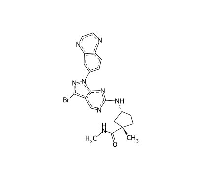 CNC(=O)[C@@]1(C)CC[C@@H](Nc2ncc3c(Br)nn(-c4ccc5nccnc5c4)c3n2)C1